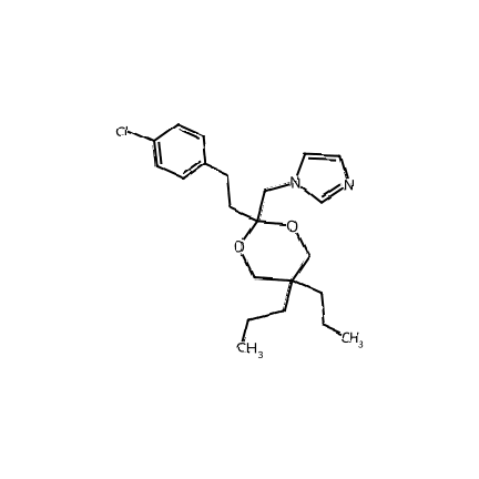 CCCC1(CCC)COC(CCc2ccc(Cl)cc2)(Cn2ccnc2)OC1